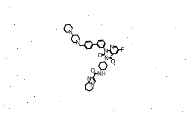 O=C(N[C@H]1CC[C@@H](n2c(=O)c3cc(F)cnc3n(-c3cccc(-c4ccc(CN5CCC(N6CCCCC6)CC5)cc4)c3)c2=O)CC1)c1cn2c(n1)CCCC2